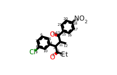 CCC(=O)C(c1cccc(Cl)c1)C(C)C(=O)c1ccc([N+](=O)[O-])cc1